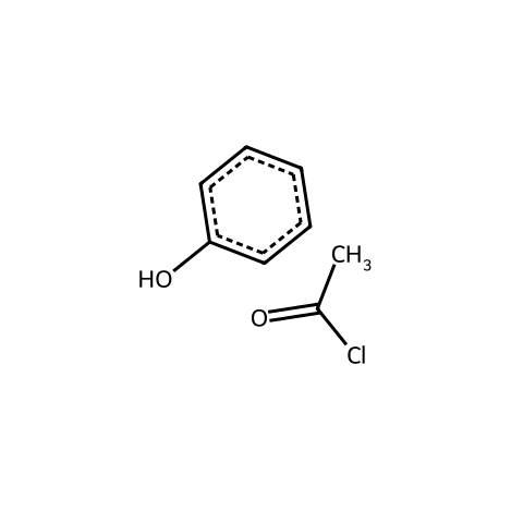 CC(=O)Cl.Oc1ccccc1